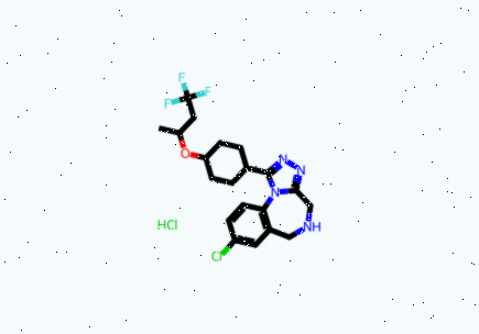 CC(CC(F)(F)F)OC1CCC(c2nnc3n2-c2ccc(Cl)cc2CNC3)CC1.Cl